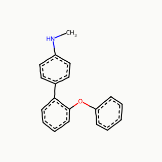 CNc1ccc(-c2ccccc2Oc2ccccc2)cc1